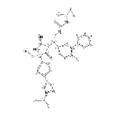 CC(C)(C)C[C@]1(c2ccc(-c3cnn(C(F)F)c3)cc2)NC(=N)N([C@H](COC(=O)NC2(C(F)(F)F)CC2)c2ccc(Cl)c(-c3ccccn3)c2)C1=O